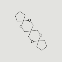 C1CCC2(C1)OCC1(CO2)COC2(CCCC2)OC1